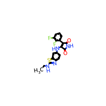 CCNc1nc2ccc(NC3=C(c4cccc(F)c4F)C(=O)NC3=O)cc2s1